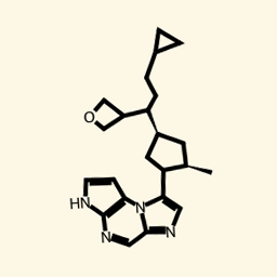 C[C@@H]1C[C@H](C(CCC2CC2)C2COC2)CC1c1cnc2cnc3[nH]ccc3n12